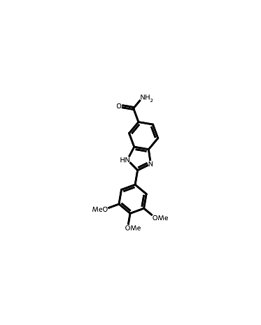 COc1cc(-c2nc3ccc(C(N)=O)cc3[nH]2)cc(OC)c1OC